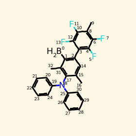 Bc1c(-c2c(F)c(F)c(C)c(F)c2F)cc(C)c(N(c2ccccc2)c2ccccc2)c1C